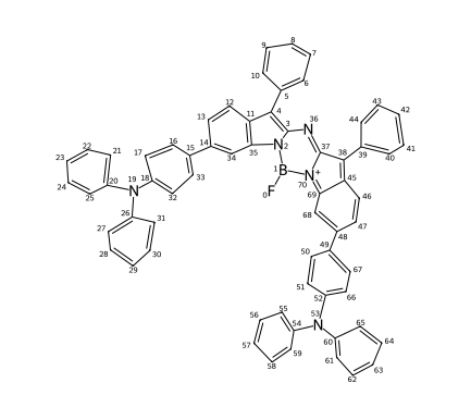 FB1n2c(c(-c3ccccc3)c3ccc(-c4ccc(N(c5ccccc5)c5ccccc5)cc4)cc32)N=C2C(c3ccccc3)=c3ccc(-c4ccc(N(c5ccccc5)c5ccccc5)cc4)cc3=[N+]12